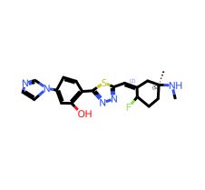 CN[C@@]1(C)CCC(F)/C(=C\c2nnc(-c3ccc(-n4ccnc4)cc3O)s2)C1